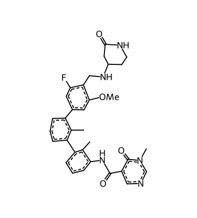 COc1cc(-c2cccc(-c3cccc(NC(=O)c4cncn(C)c4=O)c3C)c2C)cc(F)c1CNC1CCNC(=O)C1